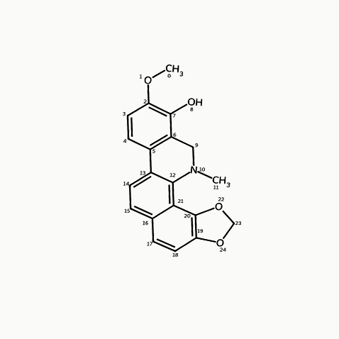 COc1ccc2c(c1O)CN(C)c1c-2ccc2ccc3c(c12)OCO3